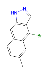 Cc1ccc2cc3[nH]ncc3c(Br)c2c1